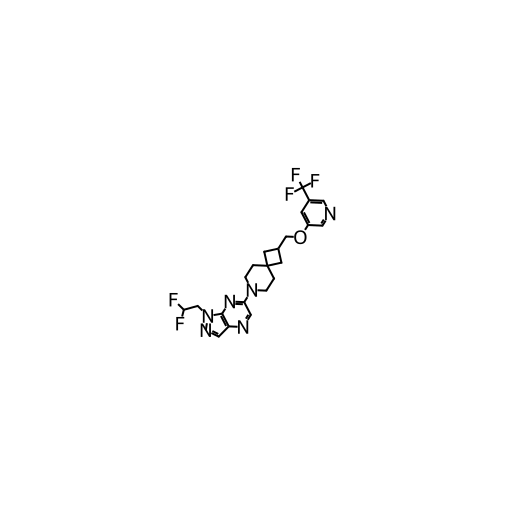 FC(F)Cn1ncc2ncc(N3CCC4(CC3)CC(COc3cncc(C(F)(F)F)c3)C4)nc21